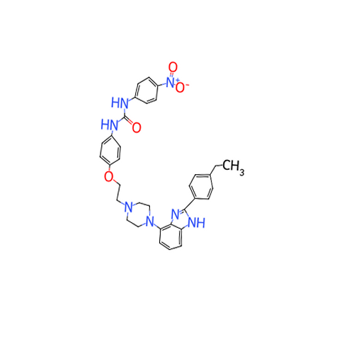 CCc1ccc(-c2nc3c(N4CCN(CCOc5ccc(NC(=O)Nc6ccc([N+](=O)[O-])cc6)cc5)CC4)cccc3[nH]2)cc1